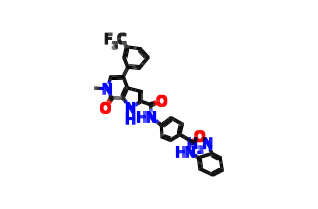 Cn1cc(-c2cccc(C(F)(F)F)c2)c2cc(C(=O)Nc3ccc(C(=O)Nc4ccccc4N)cc3)[nH]c2c1=O